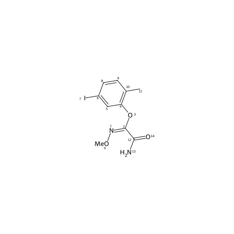 CON=C(Oc1cc(I)ccc1C)C(N)=O